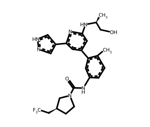 Cc1ccc(NC(=O)N2CC[C@@H](CC(F)(F)F)C2)cc1-c1cc(N[C@@H](C)CO)nc(-c2cn[nH]c2)c1